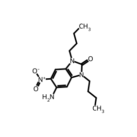 CCCCn1c(=O)n(CCCC)c2cc([N+](=O)[O-])c(N)cc21